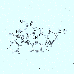 CCOc1cccc(-c2nc3nc(Cl)c(NS(=O)(=O)c4cccnc4)nc3n2-c2c(OC)cccc2OC)n1